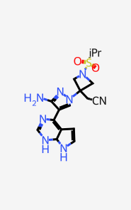 CC(C)S(=O)(=O)N1CC(CC#N)(n2cc(C3=C4C=CNC4NC=N3)c(N)n2)C1